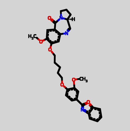 COc1cc(-c2nc3ccccc3o2)ccc1OCCCCCOc1cc2c(cc1OC)C(=O)N1CCC[C@H]1C=N2